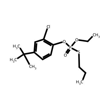 CCCSP(=O)(OCC)Oc1ccc(C(C)(C)C)cc1Cl